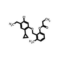 CCC(=O)Oc1cccc(C)c1COc1cc(Cl)c(CC)cc1C1CC1